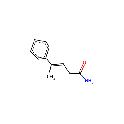 CC(=CCC(N)=O)c1ccccc1